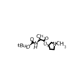 C[C@H](NC(=O)OC(C)(C)C)C(=O)O[C@H]1CCN(C)C1